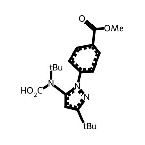 COC(=O)c1ccc(-n2nc(C(C)(C)C)cc2N(C(=O)O)C(C)(C)C)cc1